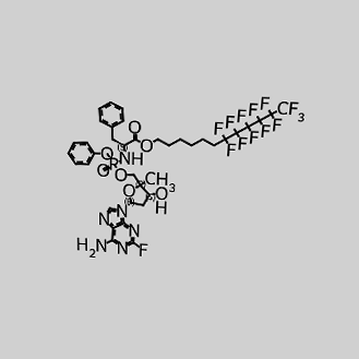 C[C@]1(COP(=O)(N[C@@H](Cc2ccccc2)C(=O)OCCCCCCC(F)(F)C(F)(F)C(F)(F)C(F)(F)C(F)(F)C(F)(F)F)Oc2ccccc2)O[C@@H](n2cnc3c(N)nc(F)nc32)C[C@@H]1O